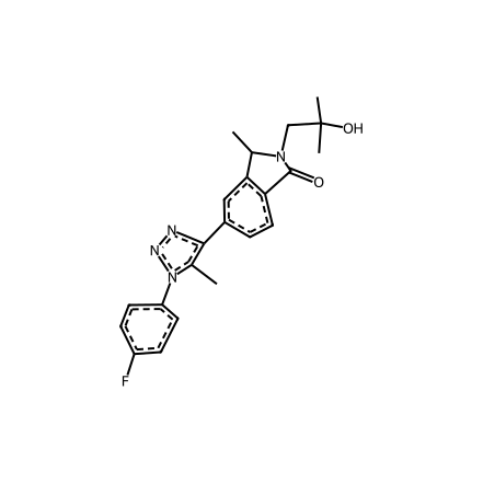 Cc1c(-c2ccc3c(c2)C(C)N(CC(C)(C)O)C3=O)nnn1-c1ccc(F)cc1